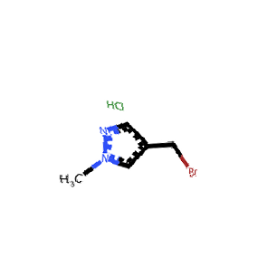 Cl.Cn1cc(CBr)cn1